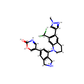 Cn1cc(-c2cc3c(cc2C(F)F)N(c2cc(-c4cnc(=O)oc4)cc4c2CNC4)CCC3)cn1